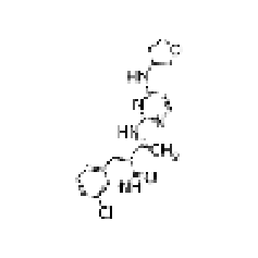 C[C@H](Nc1nccc(NC2CCOC2)n1)c1cc2cccc(Cl)c2[nH]c1=O